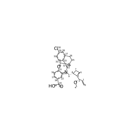 C=C[C@H](OC)[C@@H]1CC[C@H]1CN1C[C@]2(COc3ccc(C(=O)O)cc31)SCCc1cc(Cl)ccc12